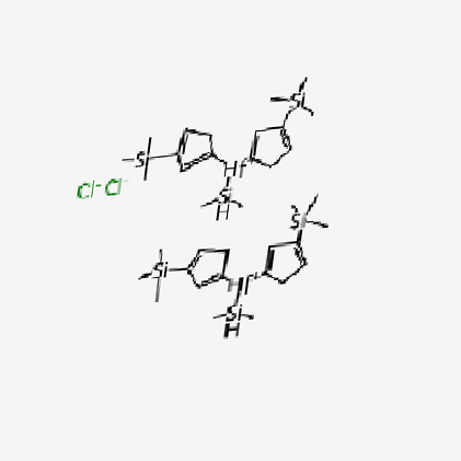 C[SiH](C)[Hf+]([C]1=CC([Si](C)(C)C)=CC1)[C]1=CC([Si](C)(C)C)=CC1.C[SiH](C)[Hf+]([C]1=CC([Si](C)(C)C)=CC1)[C]1=CC([Si](C)(C)C)=CC1.[Cl-].[Cl-]